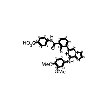 COc1ccc(Nc2nc(-c3cccc(C(=O)Nc4ccc(C(=O)O)cc4)c3C)cn3ccnc23)cc1OC